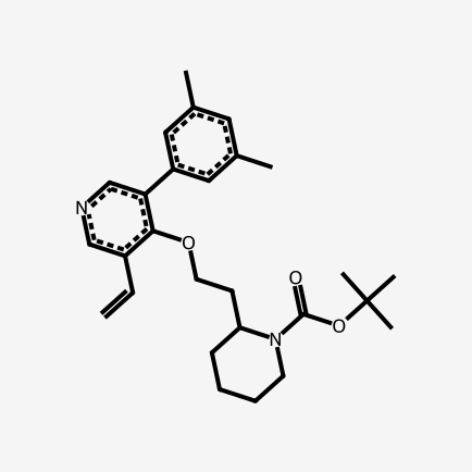 C=Cc1cncc(-c2cc(C)cc(C)c2)c1OCCC1CCCCN1C(=O)OC(C)(C)C